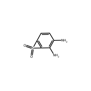 Nc1ccc2c(c1N)S2(=O)=O